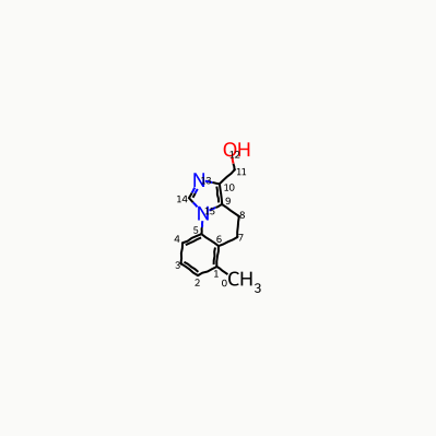 Cc1cccc2c1CCc1c(CO)ncn1-2